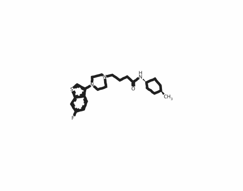 C[C@H]1CC[C@H](NC(=O)CCCN2CCN(c3csc4cc(F)ccc34)CC2)CC1